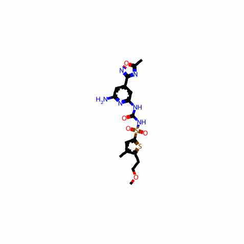 COCCc1sc(S(=O)(=O)NC(=O)Nc2cc(-c3noc(C)n3)cc(N)n2)cc1C